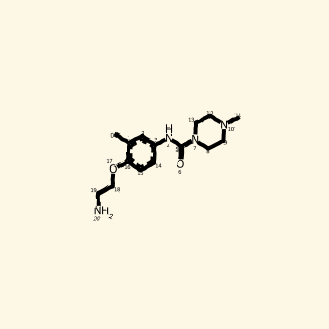 Cc1cc(NC(=O)N2CCN(C)CC2)ccc1OCCN